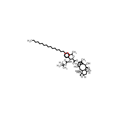 CCCCCCCCCCCCCCCCCCOC(C)O[C@@H](C(=O)O[C@H]1C[C@@]2(O)[C@@H](O)[C@@H]3[C@]4(O)CO[C@@H]4C[C@H](O)[C@@]3(C)C(=O)[C@H](O)C(=C1C)C2(C)C)[C@@H](NC(=O)OC(C)(C)C)c1ccccc1